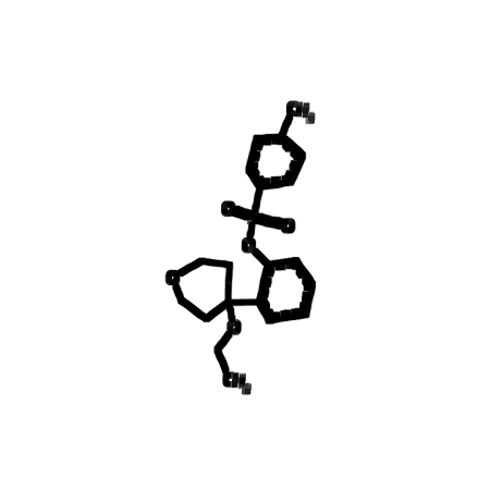 CCOC1(c2ccccc2OS(=O)(=O)c2ccc(C)cc2)CCOCC1